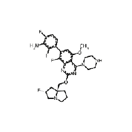 COc1cc(-c2ccc(F)c(N)c2F)c(F)c2nc(OC[C@@]34CCCN3C[C@H](F)C4)nc(N3CCNCC3)c12